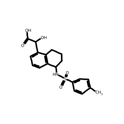 Cc1ccc(S(=O)(=O)NC2CCCc3c2cccc3C(O)C(=O)O)cc1